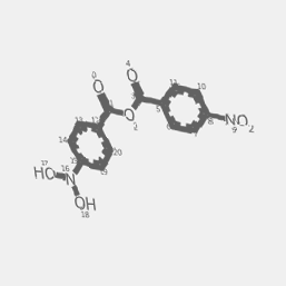 O=C(OC(=O)c1ccc([N+](=O)[O-])cc1)c1ccc(N(O)O)cc1